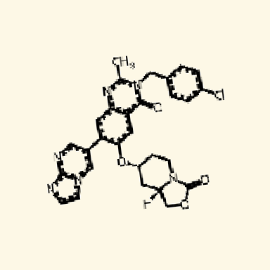 Cc1nc2cc(-c3cnc4nccn4c3)c(O[C@H]3CCN4C(=O)OC[C@@H]4C3)cc2c(=O)n1Cc1ccc(Cl)cc1